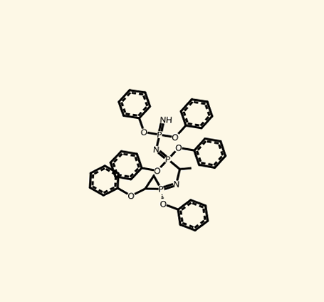 CC(N=[P@]1(Oc2ccccc2)CC1Oc1ccccc1)P(=NP(=N)(Oc1ccccc1)Oc1ccccc1)(Oc1ccccc1)Oc1ccccc1